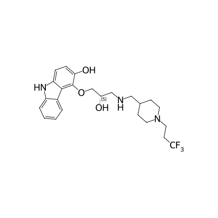 Oc1ccc2[nH]c3ccccc3c2c1OC[C@@H](O)CNCC1CCN(CCC(F)(F)F)CC1